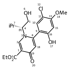 CCOC(=O)c1cn([C@@H](CO)C(C)C)c(-c2cc(Cl)c(OC)cc2O)cc1=O